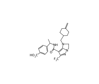 C=C1CCC(CN2CCn3nc(C(F)(F)F)c(C(=O)NC(C)c4ccc(C(=O)O)cc4)c32)CC1